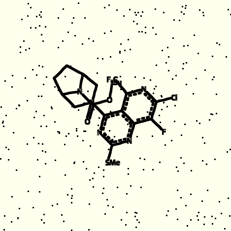 CSc1nc(N2CC3CCC(C2)N3C(=O)OC(C)(C)C)c2c(C(F)(F)F)nc(Cl)c(F)c2n1